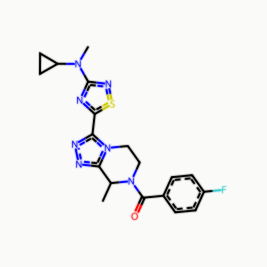 CC1c2nnc(-c3nc(N(C)C4CC4)ns3)n2CCN1C(=O)c1ccc(F)cc1